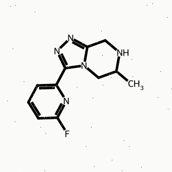 CC1Cn2c(nnc2-c2cccc(F)n2)CN1